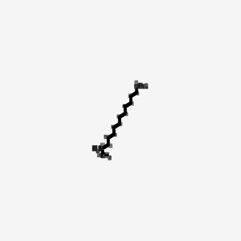 CCCCCCCCCCCCCCCCCCC[SiH2]C